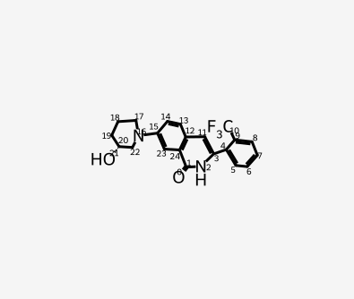 O=c1[nH]c(-c2ccccc2C(F)(F)F)cc2ccc(N3CCC[C@@H](O)C3)cc12